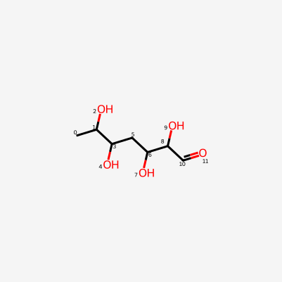 CC(O)C(O)CC(O)C(O)C=O